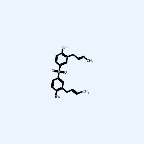 CC=CCc1cc(S(=O)(=O)c2ccc(C(C)(C)C)c(CC=CC)c2)ccc1C(C)(C)C